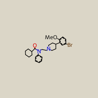 COc1ccc(Br)cc1C1CCN(CCN(C(=O)C2CCCCC2)c2ccccc2)CC1